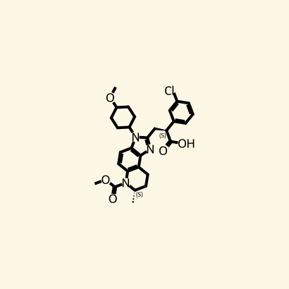 COC(=O)N1c2ccc3c(nc(C[C@H](C(=O)O)c4cccc(Cl)c4)n3C3CCC(OC)CC3)c2CC[C@@H]1C